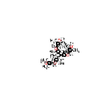 CCC(CC)Oc1c(C)cc(C(CC)(CC)Oc2cc(C)c(C(CC(C)c3cc(C(C)(C)C)c(OC(C)(CC)c4cc(C)c(OC(C)C)c(C)c4)cc3C)c3cc(C(C)(C)C)c(OC(CC)(CC)c4cc(C)c(OC(CC)CC)c(C)c4)cc3C)cc2C(C)(C)C)cc1C